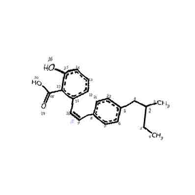 CCC(C)Cc1ccc(/C=C\c2cccc(O)c2C(=O)O)cc1